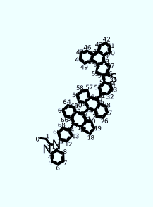 CCc1nc2ccccc2n1-c1ccc(-c2c3ccccc3c(-c3c4ccccc4c(-c4ccc5sc6cc7c8ccccc8c8ccccc8c7cc6c5c4)c4ccccc34)c3ccccc23)cc1